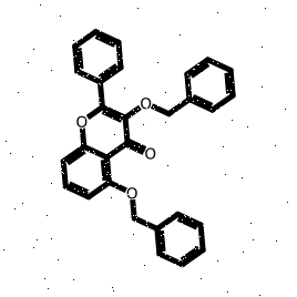 O=c1c(OCc2ccccc2)c(-c2ccccc2)oc2cccc(OCc3ccccc3)c12